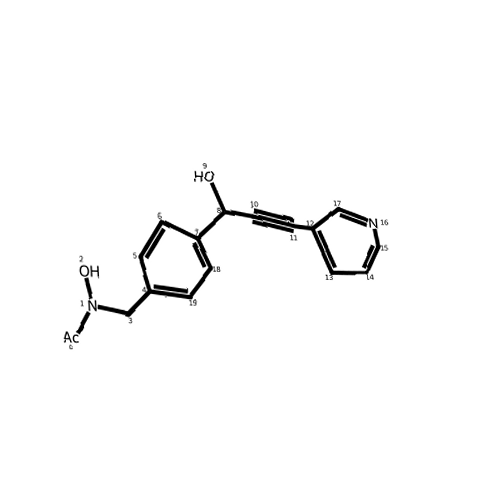 CC(=O)N(O)Cc1ccc(C(O)C#Cc2cccnc2)cc1